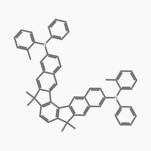 Cc1ccccc1N(c1ccccc1)c1ccc2cc3c(cc2c1)C(C)(C)c1ccc2c(c1-3)-c1cc3ccc(N(c4ccccc4)c4ccccc4C)cc3cc1C2(C)C